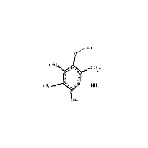 CCCCOc1c(C(=O)O)cc(CCCC)c(CCCC)c1CCCC.N